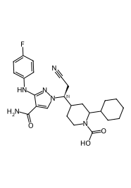 N#CC[C@@H](C1CCN(C(=O)O)C(C2CCCCC2)C1)n1cc(C(N)=O)c(Nc2ccc(F)cc2)n1